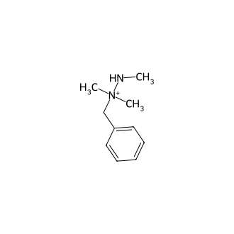 CN[N+](C)(C)Cc1ccccc1